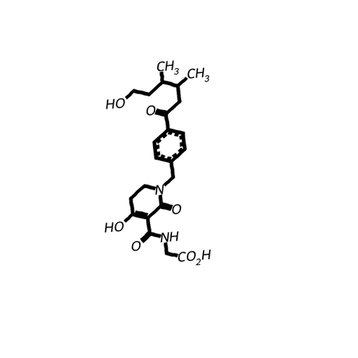 CC(CCO)C(C)CC(=O)c1ccc(CN2CCC(O)=C(C(=O)NCC(=O)O)C2=O)cc1